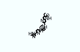 CCc1cc2ncc(CN3CCN(c4ccc(-c5cnc(C)[nH]5)nc4)[C@H]4CC[C@H]43)cc2[nH]c1=O